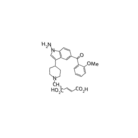 COc1ccccc1C(=O)c1ccc2c(c1)c(C1CCN(C)CC1)cn2N.O=C(O)C=CC(=O)O